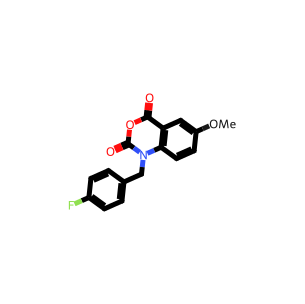 COc1ccc2c(c1)c(=O)oc(=O)n2Cc1ccc(F)cc1